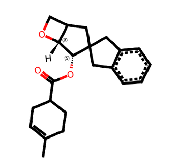 CC1=CCC(C(=O)O[C@@H]2[C@@H]3OCC3CC23Cc2ccccc2C3)CC1